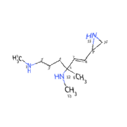 CNCCCC(C)(/C=C/C1CN1)NC